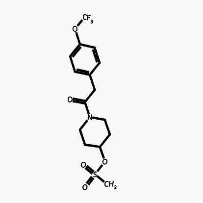 CS(=O)(=O)OC1CCN(C(=O)Cc2ccc(OC(F)(F)F)cc2)CC1